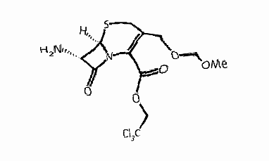 COCOCC1=C(C(=O)OCC(Cl)(Cl)Cl)N2C(=O)[C@H](N)[C@H]2SC1